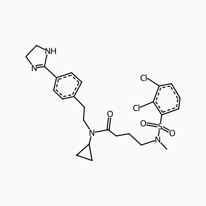 CN(CCCC(=O)N(CCc1ccc(C2=NCCN2)cc1)C1CC1)S(=O)(=O)c1cccc(Cl)c1Cl